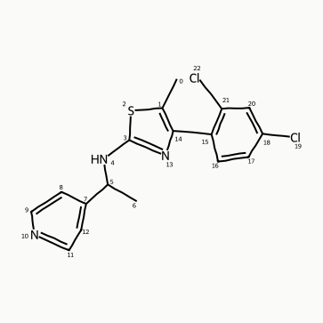 Cc1sc(NC(C)c2ccncc2)nc1-c1ccc(Cl)cc1Cl